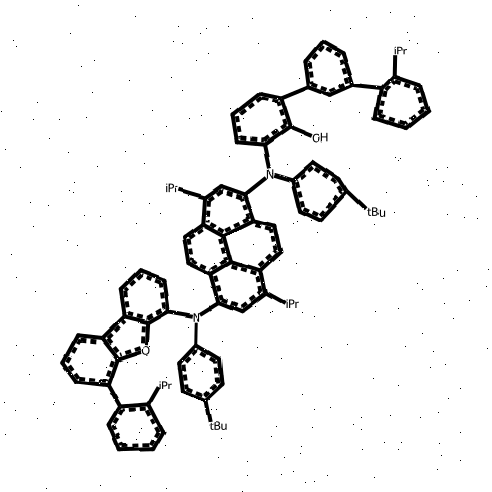 CC(C)c1ccccc1-c1cccc(-c2cccc(N(c3ccc(C(C)(C)C)cc3)c3cc(C(C)C)c4ccc5c(N(c6ccc(C(C)(C)C)cc6)c6cccc7c6oc6c(-c8ccccc8C(C)C)cccc67)cc(C(C)C)c6ccc3c4c65)c2O)c1